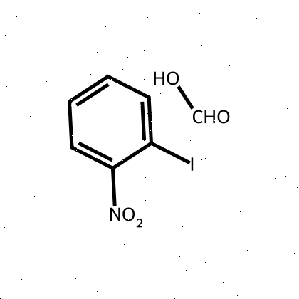 O=CO.O=[N+]([O-])c1ccccc1I